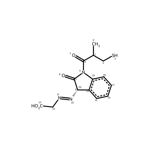 CC(CS)C(=O)N1C(=O)[C@@H](N=NCC(=O)O)c2ccccc21